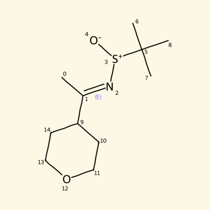 C/C(=N\[S+]([O-])C(C)(C)C)C1CCOCC1